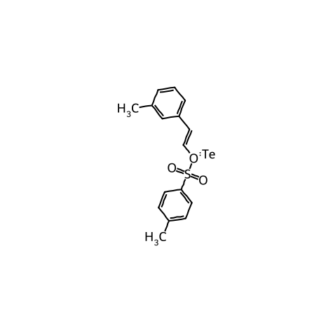 Cc1ccc(S(=O)(=O)OC=Cc2cccc(C)c2)cc1.[Te]